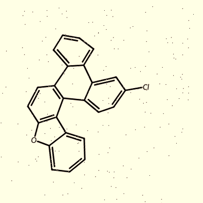 Clc1ccc2c(c1)c1ccccc1c1ccc3oc4ccccc4c3c12